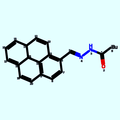 CCC(C)C(=O)N/N=C/c1ccc2c3c1C=CC1C=CC=C(C=C2)C31